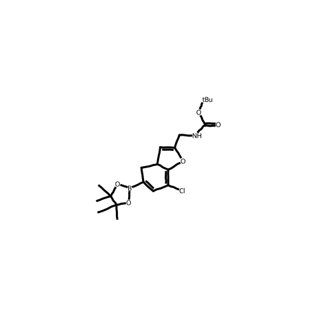 CC(C)(C)OC(=O)NCC1=CC2CC(B3OC(C)(C)C(C)(C)O3)=CC(Cl)=C2O1